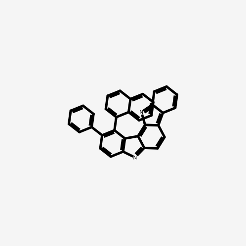 c1ccc(-c2ccc3c(c2-c2cccc4ccccc24)-c2c4c(ccc2=N3)=c2ccccc2=N4)cc1